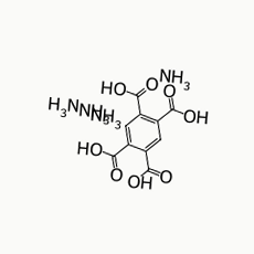 N.N.N.N.O=C(O)c1cc(C(=O)O)c(C(=O)O)cc1C(=O)O